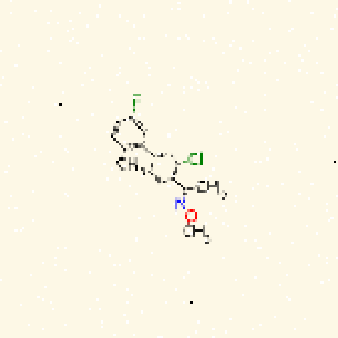 CO/N=C(\C)c1ccc(-c2cc(F)ccc2C)cc1Cl